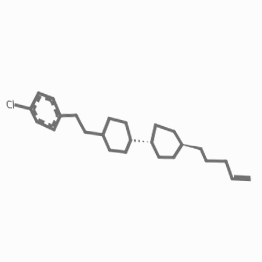 C=CCCC[C@H]1CC[C@H](C2CCC(CCc3ccc(Cl)cc3)CC2)CC1